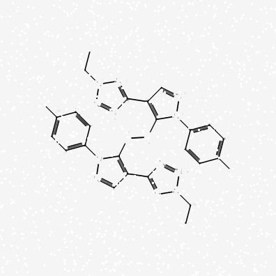 CCn1nnc(-c2cnn(-c3ccc(F)cc3)c2SSc2c(-c3nnn(CC)n3)cnn2-c2ccc(F)cc2)n1